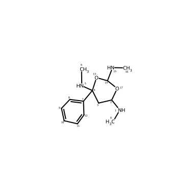 CNC1CC(NC)(c2ccccc2)OC(NC)O1